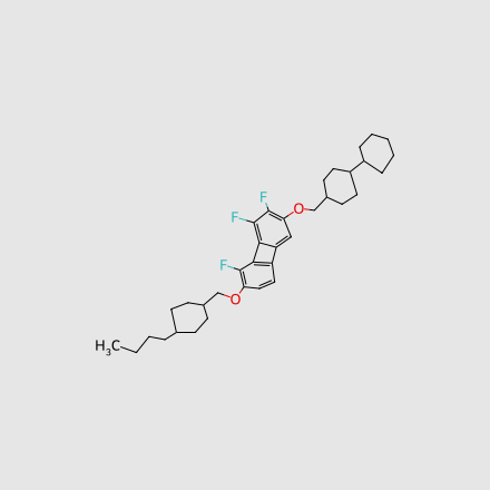 CCCCC1CCC(COc2ccc3c(c2F)-c2c-3cc(OCC3CCC(C4CCCCC4)CC3)c(F)c2F)CC1